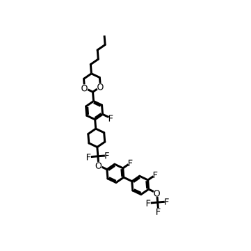 CCCCCC1COC(c2ccc(C3CCC(C(F)(F)Oc4ccc(-c5ccc(OC(F)(F)F)c(F)c5)c(F)c4)CC3)c(F)c2)OC1